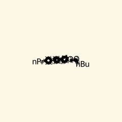 CCCC[C@@H]1O[C@H]1COc1ccc(-c2ccc([C@H]3CC[C@H](CCC)CC3)cc2)cc1